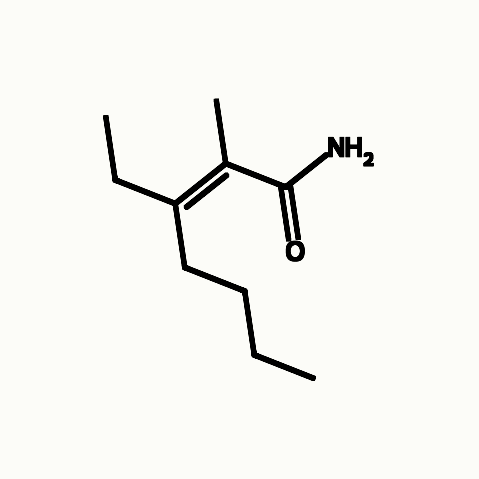 CCCCC(CC)=C(C)C(N)=O